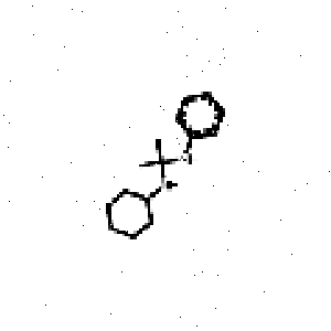 CC(I)(Nc1ccccc1)NC1CCCCC1